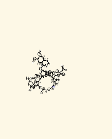 COc1cc2ccnc(O[C@@H]3C[C@H]4C(=O)N[C@]5(C(=O)NS(=O)(=O)C6CC6)C[C@H]5/C=C\CC[C@@H](C)C[C@@H](C)[C@H](N(C(=O)O)C(C)(C)C(C)(F)F)C(=O)N4C3)c2cc1OC